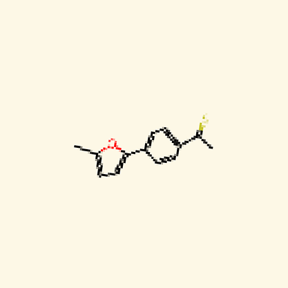 CC(=S)c1ccc(-c2ccc(C)o2)cc1